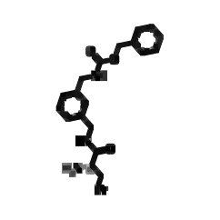 CC(C)C[C@H](N)C(=O)NCc1cccc(CNC(=O)OCc2ccccc2)c1